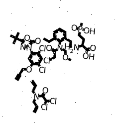 C#CCOc1cc(-n2nc(C(C)(C)C)oc2=O)c(Cl)cc1Cl.C=CCN(CC=C)C(=O)C(Cl)Cl.CCc1cccc(CC)c1N(COC)C(=O)CCl.CP(=O)(O)CCC(N)C(=O)O